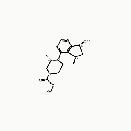 CC(=O)O[C@H]1C[C@@H](C)c2c1ncnc2N1CCN(C(=O)OC(C)(C)C)C[C@@H]1C